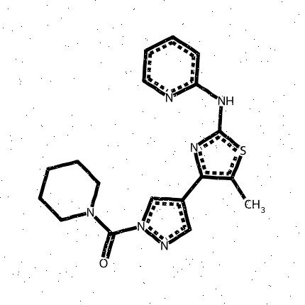 Cc1sc(Nc2ccccn2)nc1-c1cnn(C(=O)N2CCCCC2)c1